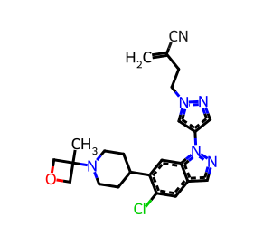 C=C(C#N)CCn1cc(-n2ncc3cc(Cl)c(C4CCN(C5(C)COC5)CC4)cc32)cn1